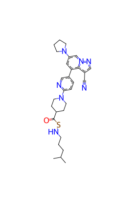 CC(C)CCCNSC(=O)C1CCN(c2ccc(-c3cc(N4CCCC4)cn4ncc(C#N)c34)cn2)CC1